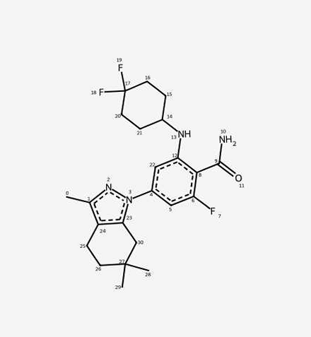 Cc1nn(-c2cc(F)c(C(N)=O)c(NC3CCC(F)(F)CC3)c2)c2c1CCC(C)(C)C2